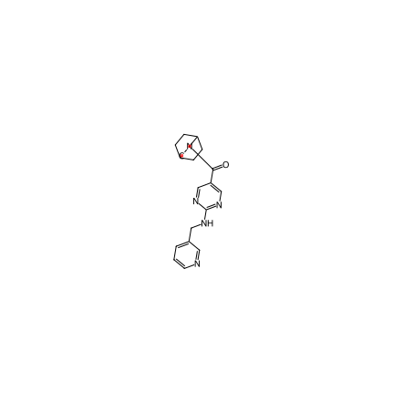 O=C(c1cnc(NCc2cccnc2)nc1)N1CC2CCC(CC2)C1